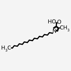 CCCCCCCCCCCCCCCCCCn1cc(C)c(C(=O)O)c1